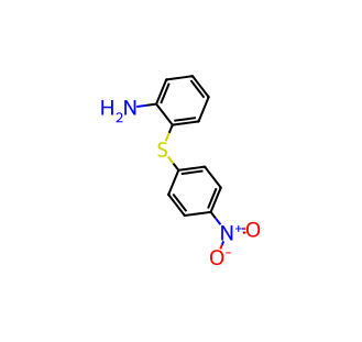 Nc1ccccc1Sc1ccc([N+](=O)[O-])cc1